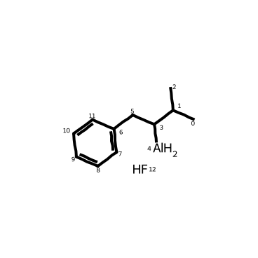 CC(C)[CH]([AlH2])Cc1ccccc1.F